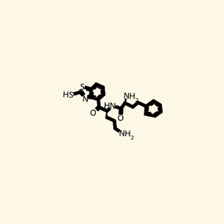 NCCC[C@H](NC(=O)[C@@H](N)CCc1ccccc1)C(=O)c1cccc2sc(S)nc12